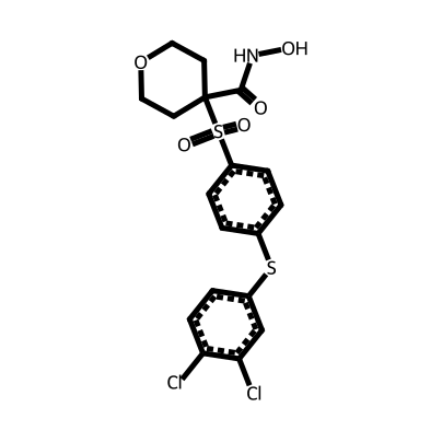 O=C(NO)C1(S(=O)(=O)c2ccc(Sc3ccc(Cl)c(Cl)c3)cc2)CCOCC1